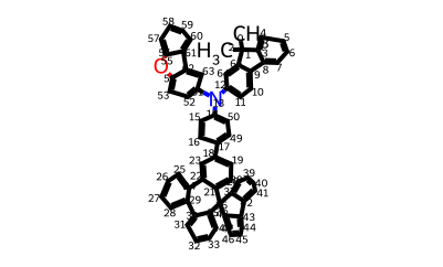 CC1(C)c2ccccc2-c2ccc(N(c3ccc(-c4ccc5c(c4)-c4ccccc4-c4ccccc4C54c5ccccc5-c5ccccc54)cc3)c3ccc4oc5ccccc5c4c3)cc21